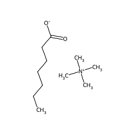 CCCCCCC(=O)[O-].C[N+](C)(C)C